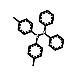 Cc1ccc(N(c2ccc(C)cc2)N(c2ccccc2)c2ccccc2)cc1